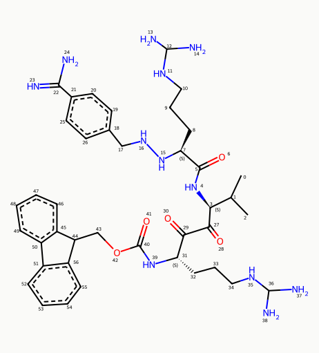 CC(C)[C@H](NC(=O)[C@H](CCCNC(N)N)NNCc1ccc(C(=N)N)cc1)C(=O)C(=O)[C@H](CCCNC(N)N)NC(=O)OCC1c2ccccc2-c2ccccc21